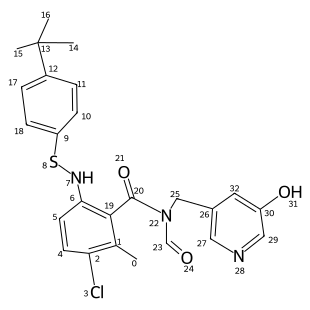 Cc1c(Cl)ccc(NSc2ccc(C(C)(C)C)cc2)c1C(=O)N(C=O)Cc1cncc(O)c1